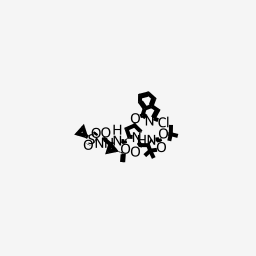 C=C[C@@H]1C[C@]1(NC(=O)[C@@H]1C[C@@H](Oc2nc(Cl)cc3ccccc23)CN1C(=O)[C@@H](NC(=O)OC(C)(C)C)C(C)(C)C)C(=O)NS(=O)(=O)C1CC1